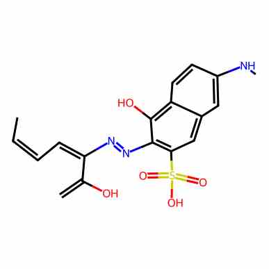 C=C(O)/C(=C\C=C/C)N=Nc1c(S(=O)(=O)O)cc2cc(NC)ccc2c1O